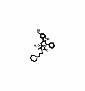 CCOc1ccc2[nH]c3c(c2c1)C[C@@]1(C)C(=O)N(CCCN2CCCCCC2)C(=O)N1[C@@H]3c1ccccc1